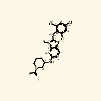 CC(=O)N1CCC[C@@H](Nc2ncc3nc(Nc4c(Cl)cc(Cl)cc4Cl)n(C)c3n2)C1